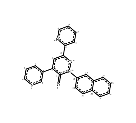 O=c1c(-c2cccnc2)cc(-c2ccccn2)nn1-c1ccc2ccccc2c1